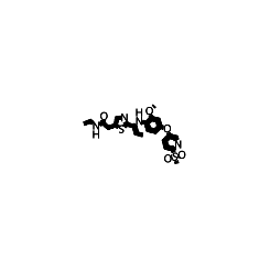 C/C=C(\Nc1ccc(Oc2ccc(S(C)(=O)=O)nc2)cc1OC)C1=NCC(CC(=O)NCC)S1